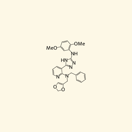 COc1ccc(OC)c(Nc2nnc(-c3cccnc3N(CC3=COCO3)Cc3ccccc3)[nH]2)c1